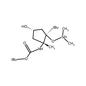 C[SiH](C)O[C@]1(C(C)(C)C)C[C@@H](O)C[C@@]1(C)NC(=O)OC(C)(C)C